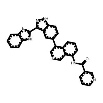 O=C(Nc1cccc2c(-c3ccc4[nH]nc(-c5nc6ccccc6[nH]5)c4c3)cncc12)c1cccnc1